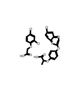 CC(Oc1ccc(Oc2cnc3cc(Cl)ccc3n2)cc1)C(=O)O.O=C(O)COc1ccc(Cl)cc1Cl